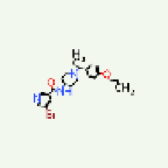 C=CCOc1ccc(C(C)N2CCC(NC(=O)c3cncc(Br)c3)CC2)cc1